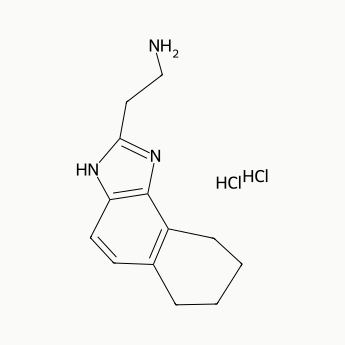 Cl.Cl.NCCc1nc2c3c(ccc2[nH]1)CCCC3